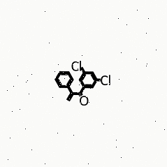 C=C(C(=O)c1cc(Cl)cc(Cl)c1)c1ccccc1